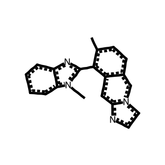 Cc1ccc2cn3ccnc3cc2c1-c1nc2ccccc2n1C